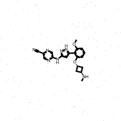 CN[C@H]1C[C@H](Oc2cccc(OC)c2-c2cc(Nc3cnc(C#N)cn3)n[nH]2)C1